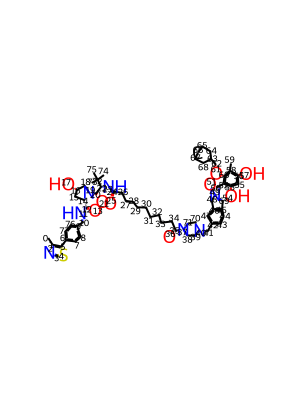 Cc1ncsc1-c1ccc(CNC(=O)[C@@H]2C[C@@H](O)CN2C(=O)[C@@H](NC(=O)CCCCCCCCCC(=O)N2CCN(Cc3ccc4c(c3)CN(C(=O)c3c(O)cc(O)c(C)c3OCC3CCCCC3)C4)CC2)C(C)(C)C)cc1